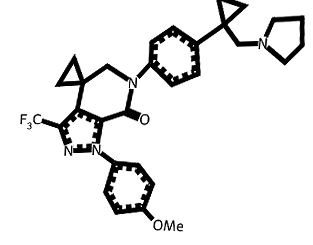 COc1ccc(-n2nc(C(F)(F)F)c3c2C(=O)N(c2ccc(C4(CN5CCCC5)CC4)cc2)CC32CC2)cc1